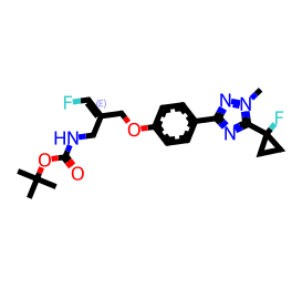 Cn1nc(-c2ccc(OC/C(=C/F)CNC(=O)OC(C)(C)C)cc2)nc1C1(F)CC1